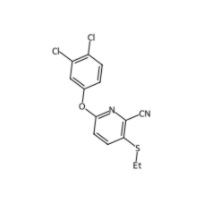 CCSc1ccc(Oc2ccc(Cl)c(Cl)c2)nc1C#N